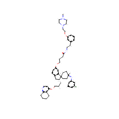 C[C@@H](COc1ccnc2c1[C@H](C)CCC2)C[C@H]1Cc2ccc(OCCCC(=O)NCCc3cccc(OCCN4CCN(C)CC4)c3)cc2C12CCC(Nc1cccc(Cl)c1)(C(=O)O)CC2